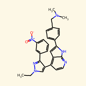 CCn1cc(-c2ccnc3[nH]c(-c4ccc(CN(C)C)cc4)cc23)c(-c2cccc([N+](=O)[O-])c2)n1